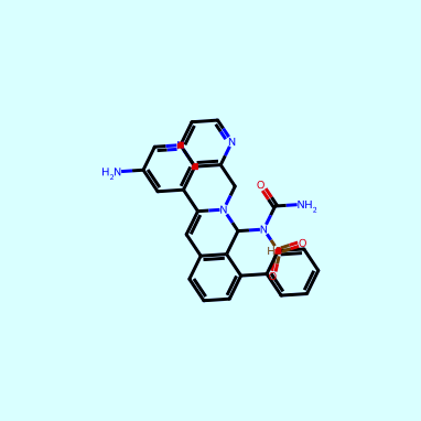 NC(=O)N(C1c2c(cccc2-c2ccccc2)C=C(c2cncc(N)c2)N1Cc1ccccn1)[SH](=O)=O